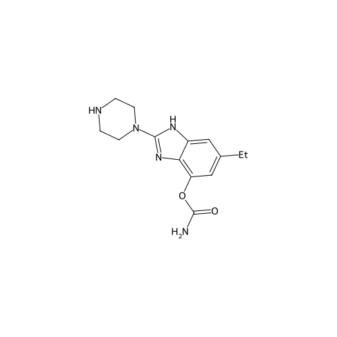 CCc1cc(OC(N)=O)c2nc(N3CCNCC3)[nH]c2c1